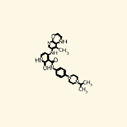 Cc1c(Nc2cc[nH]c(=O)c2C(=O)Nc2ccc(N3CCN(C(C)C)CC3)cc2)cnc2c1NCCO2